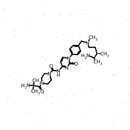 CC(N)[C@H](C)CCN(C)Cc1ccc(-n2ccc(NC(=O)N3CCN(C(=O)C(C)(C)N)CC3)nc2=O)cc1